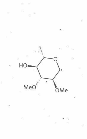 CO[C@@H]1[C@@H](O)[C@H](C)O[C][C@H]1OC